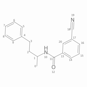 CC(CCc1ccccc1)NC(=O)c1cccc(C#N)c1